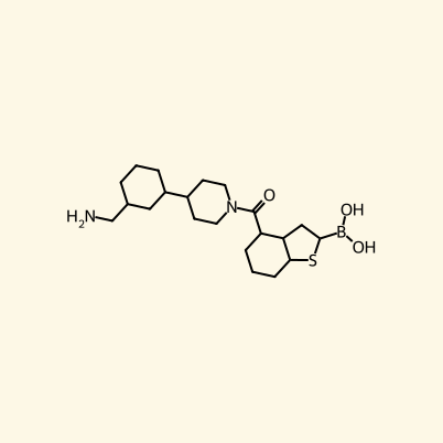 NCC1CCCC(C2CCN(C(=O)C3CCCC4SC(B(O)O)CC43)CC2)C1